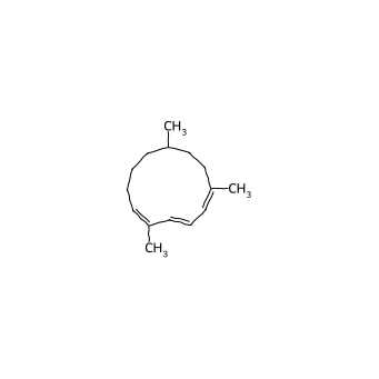 CC1=C\CCCC(C)CC\C(C)=C/C=C/1